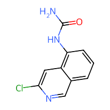 NC(=O)Nc1cccc2cnc(Cl)cc12